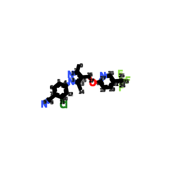 Cc1nn(-c2ccc(C#N)c(Cl)c2)c(C)c1COc1ccc(C(F)(F)F)cn1